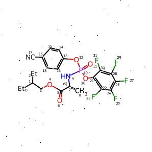 CCC(CC)COC(=O)[C@H](C)NP(=O)(Oc1ccc(C#N)cc1)Oc1c(F)c(F)c(F)c(F)c1F